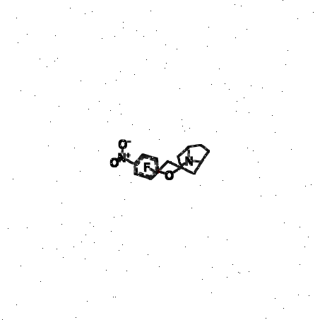 O=[N+]([O-])c1ccc(OC2CC3CCC(C2)N3CCCF)cc1